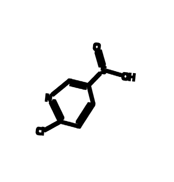 O=S(O)c1ccc(Cl)nc1